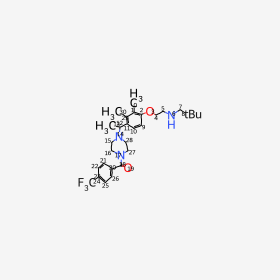 Cc1c(OCCNCC(C)(C)C)ccc(C(C)N2CCN(C(=O)c3ccc(C(F)(F)F)cc3)CC2)c1C